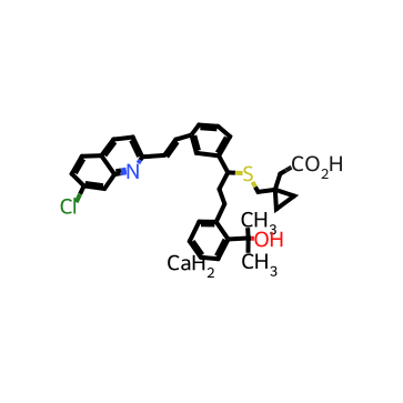 CC(C)(O)c1ccccc1CCC(SCC1(CC(=O)O)CC1)c1cccc(/C=C/c2ccc3ccc(Cl)cc3n2)c1.[CaH2]